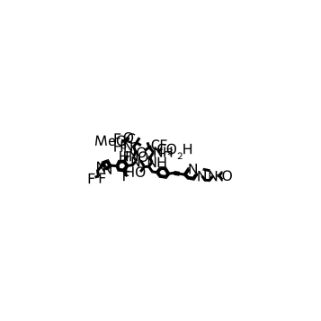 COC(=O)NC(C(=O)NN(Cc1c(F)cc(-c2ccn(CC(F)F)n2)cc1F)CC(O)C(Cc1ccc(C#Cc2ccc(N3CCN(C4COC4)CC3)nc2)cc1)NC(=O)C(NC(=O)O)C(C)(C)C(F)(F)F)C(C)(C)C(F)(F)F